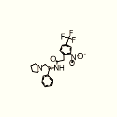 O=C(Cc1ccc(C(F)(F)F)cc1[N+](=O)[O-])N[C@H](CN1CCCC1)c1ccccc1